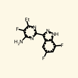 CCc1nc(-c2n[nH]c3c(F)cc(F)cc23)nc(N)c1F